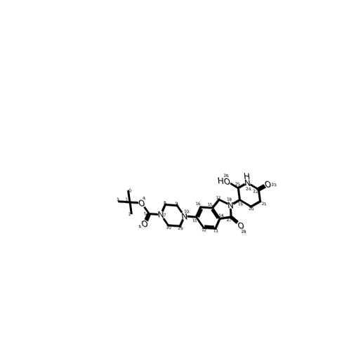 CC(C)(C)OC(=O)N1CCN(c2ccc3c(c2)CN(C2CCC(=O)NC2O)C3=O)CC1